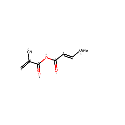 C=C(C#N)C(=O)OC(=O)C=COC